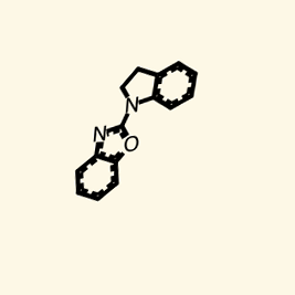 c1ccc2c(c1)CCN2c1nc2ccccc2o1